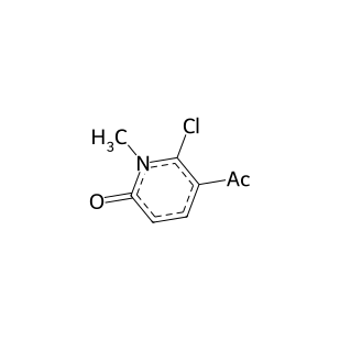 CC(=O)c1ccc(=O)n(C)c1Cl